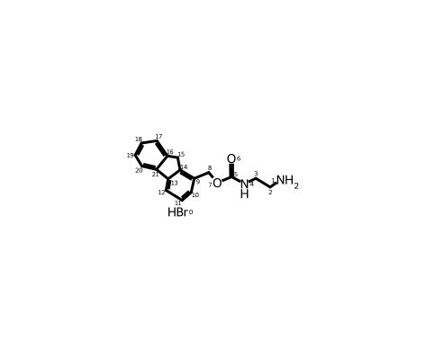 Br.NCCNC(=O)OCc1cccc2c1Cc1ccccc1-2